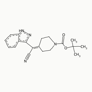 CC(C)(C)OC(=O)N1CCC(=C(C#N)c2n[nH]c3ccccc23)CC1